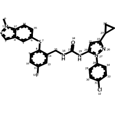 Cn1ncc2cc(Sc3ccc(F)cc3CNC(=O)Nc3cc(C4CC4)nn3-c3ccc(Cl)cc3)ccc21